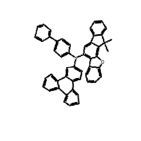 CC1(C)c2ccccc2-c2cc(N(c3ccc(-c4ccccc4)cc3)c3ccc4c5ccccc5c5ccccc5c4c3)c3c(oc4ccccc43)c21